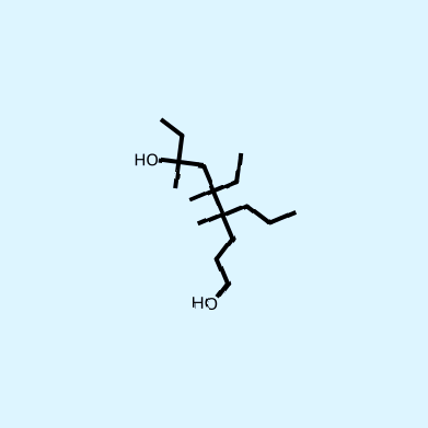 CCCC(C)(CCCO)C(C)(CC)CC(C)(O)CC